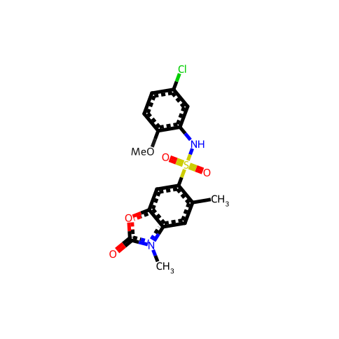 COc1ccc(Cl)cc1NS(=O)(=O)c1cc2oc(=O)n(C)c2cc1C